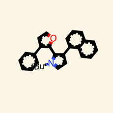 CC(C)(C)n1ccc(-c2cccc3ccccc23)c1-c1occc1-c1ccccc1